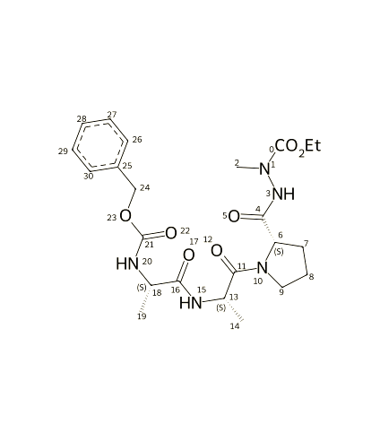 CCOC(=O)N(C)NC(=O)[C@@H]1CCCN1C(=O)[C@H](C)NC(=O)[C@H](C)NC(=O)OCc1ccccc1